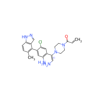 C=CC(=O)N1CCN(/C(=C/N)c2cc(Cl)c(-c3c(C)ccc4[nH]ncc34)cc2N)CC1